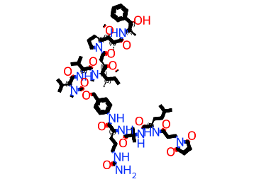 CC[C@H](C)[C@@H]([C@@H](CC(=O)N1CCC[C@H]1[C@H](OC)[C@@H](C)C(=O)N[C@H](C)[C@@H](O)c1ccccc1)OC)N(C)C(=O)[C@@H](NC(=O)[C@H](C(C)C)N(C)C(=O)OCc1ccc(NC(=O)[C@H](CCCNC(N)=O)NC(=O)C(C)(C)NC(=O)[C@@H](CCC(C)C)NC(=O)CCN2C(=O)C=CC2=O)cc1)C(C)C